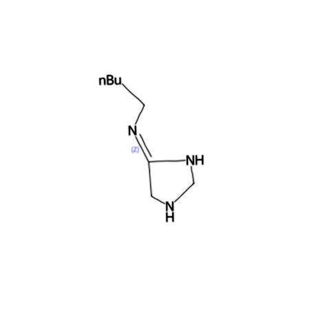 CCCCC/N=C1/CNCN1